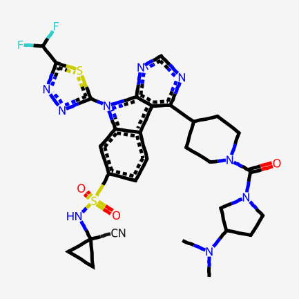 CN(C)C1CCN(C(=O)N2CCC(c3ncnc4c3c3ccc(S(=O)(=O)NC5(C#N)CC5)cc3n4-c3nnc(C(F)F)s3)CC2)C1